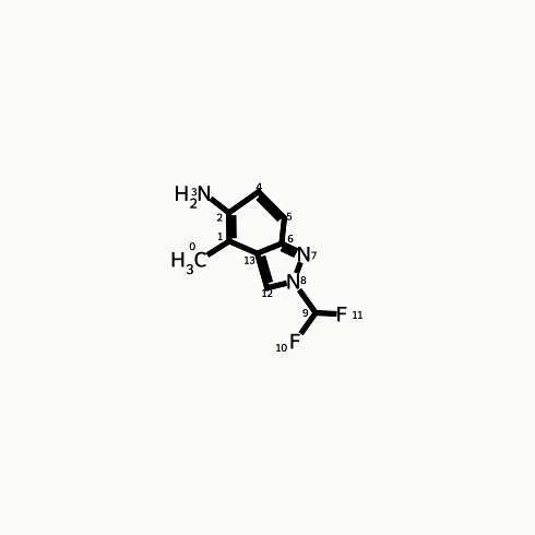 Cc1c(N)ccc2nn(C(F)F)cc12